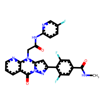 CNC(=O)c1cc(F)c(-c2cc3n(CC(=O)Nc4ccc(F)cn4)c4ncccc4c(=O)n3n2)c(F)c1